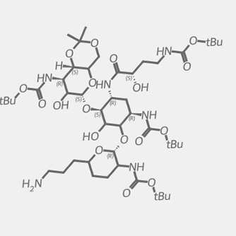 CC(C)(C)OC(=O)NCC[C@H](O)C(=O)N[C@@H]1C[C@@H](NC(=O)OC(C)(C)C)C(O[C@H]2OC(CCCN)CCC2NC(=O)OC(C)(C)C)C(O)[C@H]1O[C@H]1OC2COC(C)(C)O[C@H]2[C@H](NC(=O)OC(C)(C)C)C1O